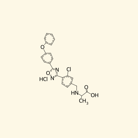 CC(NCc1ccc(-c2noc(-c3ccc(Oc4ccccc4)cc3)n2)c(Cl)c1)C(=O)O.Cl